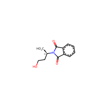 O=C(O)[C@H](CCO)N1C(=O)c2ccccc2C1=O